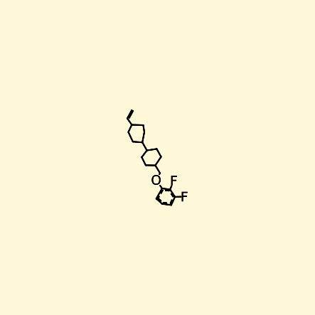 C=CC1CCC(C2CCC(COc3cccc(F)c3F)CC2)CC1